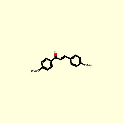 CCCCCCCCCc1ccc(C(=O)/C=C/c2ccc(SC)cc2)cc1